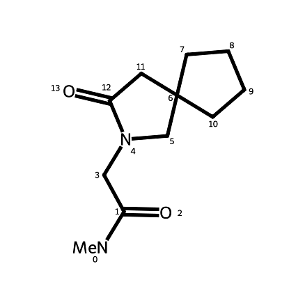 CNC(=O)CN1CC2(CCCC2)CC1=O